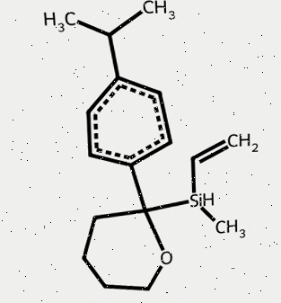 C=C[SiH](C)C1(c2ccc(C(C)C)cc2)CCCCO1